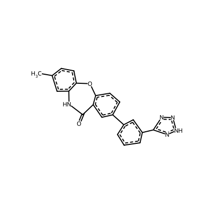 Cc1ccc2c(c1)NC(=O)c1cc(-c3cccc(-c4nn[nH]n4)c3)ccc1O2